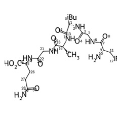 CC[C@H](C)[C@H](NC(=O)CNC(=O)[C@@H](N)CC(C)C)C(=O)N[C@@H](C)C(=O)NCC(=O)N[C@@H](CCC(N)=O)C(=O)O